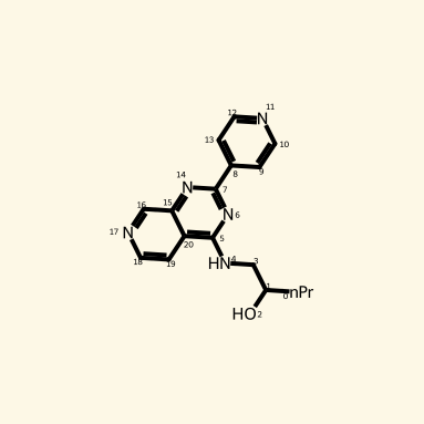 CCCC(O)CNc1nc(-c2ccncc2)nc2cnccc12